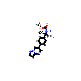 CC(C)(C)OC(=O)NC(C)(C)c1ccc(-c2cnc3ccnn3c2)cc1